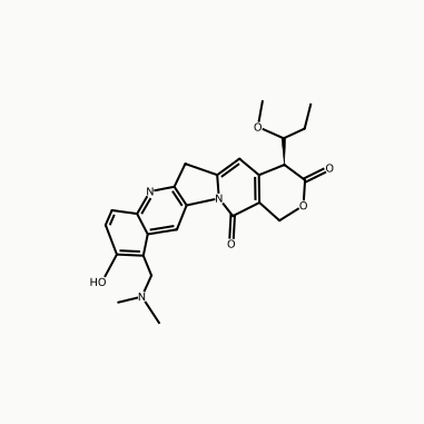 CCC(OC)[C@H]1C(=O)OCc2c1cc1n(c2=O)-c2cc3c(CN(C)C)c(O)ccc3nc2C1